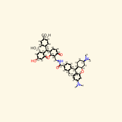 CN(C)c1ccc2c(c1)OC1CC(=[N+](C)C)CCC1=C2c1ccc(C(=O)NCc2c3oc4cc(O)ccc4c(-c4ccc(C(=O)O)cc4C(=O)O)c-3ccc2=O)cc1C(=O)O